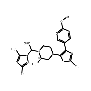 CCOc1ncc(-c2nc(C(F)(F)F)sc2N2CCN(C(C=O)n3nc(CC)nc3C)[C@H](C)C2)cn1